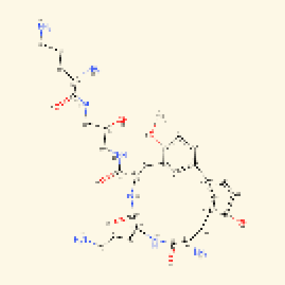 COc1ccc2cc1C[C@@H](C(=O)NCC(O)CNC(=O)[C@@H](N)CCCN)NC(=O)[C@H](CCCN)NC(=O)[C@@H](N)Cc1cc-2ccc1O